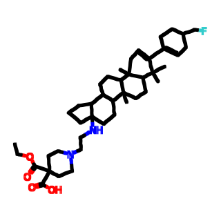 CCOC(=O)C1(C(=O)O)CCN(CCNC23CCCC2C2CCC4C(C)(CCC5C(C)(C)C(C6=CCC(CF)CC6)=CCC54C)C2CC3)CC1